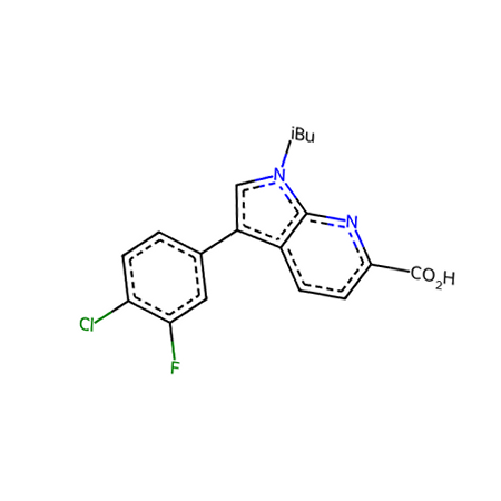 CCC(C)n1cc(-c2ccc(Cl)c(F)c2)c2ccc(C(=O)O)nc21